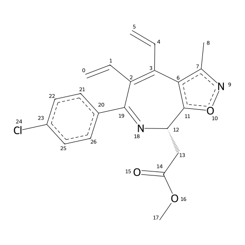 C=CC1=C(C=C)c2c(C)noc2[C@H](CC(=O)OC)N=C1c1ccc(Cl)cc1